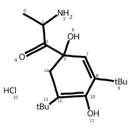 CC(N)C(=O)C1(O)C=C(C(C)(C)C)C(O)=C(C(C)(C)C)C1.Cl